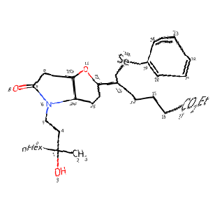 CCCCCCC(C)(O)CCN1C(=O)CC2OC(C(CCCC(=O)OCC)[Se]c3ccccc3)CC21